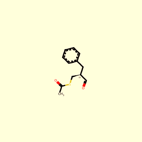 CC(=O)SC[C@H](C=O)Cc1ccccc1